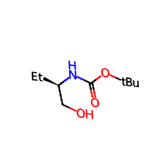 CC[C@H](CO)NC(=O)OC(C)(C)C